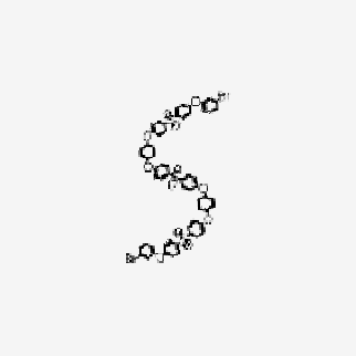 O=S(=O)(c1ccc(Oc2ccc(Oc3ccc(S(=O)(=O)c4ccc(Oc5cccc(Br)c5)cc4)cc3)cc2)cc1)c1ccc(Oc2ccc(Oc3ccc(S(=O)(=O)c4ccc(Oc5cccc(Br)c5)cc4)cc3)cc2)cc1